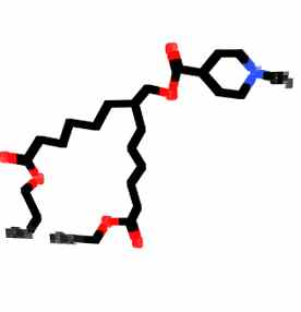 CCCCCCCCCCCCOC(=O)CCCCCC(CCCCCC(=O)OCCCCCCCCCCC)COC(=O)C1CCN(C)CC1